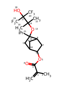 C=C(C)C(=O)OC1CC2CC1CC2(OC(C)(C)C(O)(C(F)(F)F)C(F)(F)F)C(C)C